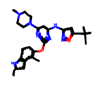 Cc1cc2c(C)c(Oc3nc(Nc4cc(C(C)(C)C)on4)cc(N4CCN(C)CC4)n3)ccc2[nH]1